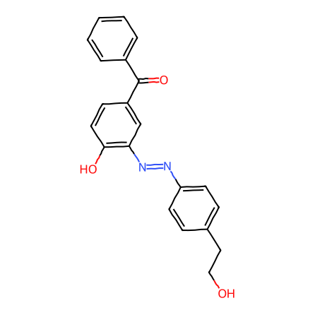 O=C(c1ccccc1)c1ccc(O)c(N=Nc2ccc(CCO)cc2)c1